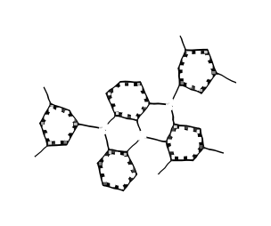 Cc1cc(C)cc(N2c3ccccc3B3c4c(C)cc(C)cc4N(c4cc(C)cc(C)c4)c4cccc2c43)c1